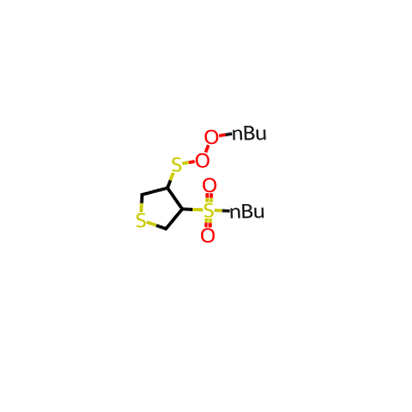 CCCCOOSC1CSCC1S(=O)(=O)CCCC